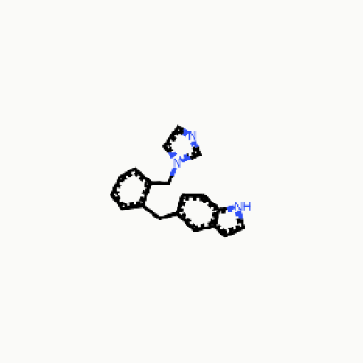 c1ccc(Cn2ccnc2)c(Cc2ccc3[nH]ccc3c2)c1